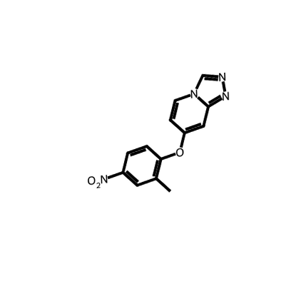 Cc1cc([N+](=O)[O-])ccc1Oc1ccn2cnnc2c1